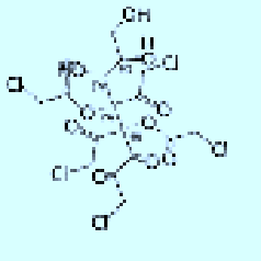 O=C(CCl)O[C@@](C(=O)CCl)(C(=O)C(=O)CCl)[C@](OC(=O)CCl)(C(=O)CCl)[C@H](O)[C@H](O)CO